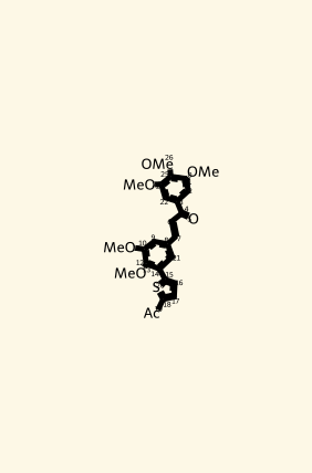 COc1cc(C(=O)C=Cc2cc(OC)c(OC)c(-c3ccc(C(C)=O)s3)c2)cc(OC)c1OC